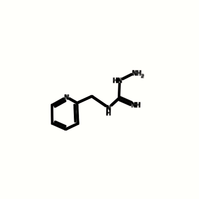 N=C(NN)NCc1ccccn1